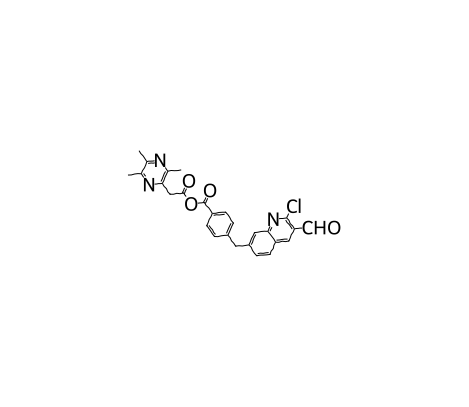 Cc1nc(C)c(CC(=O)OC(=O)c2ccc(Cc3ccc4cc(C=O)c(Cl)nc4c3)cc2)nc1C